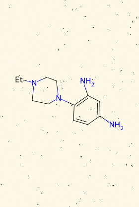 CCN1CCN(c2ccc(N)cc2N)CC1